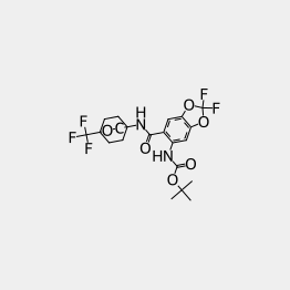 CC(C)(C)OC(=O)Nc1cc2c(cc1C(=O)NC13CCC(C(F)(F)F)(CC1)OC3)OC(F)(F)O2